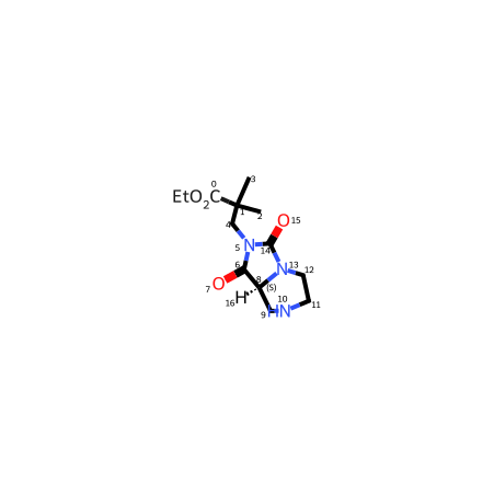 CCOC(=O)C(C)(C)CN1C(=O)[C@@H]2CNCCN2C1=O